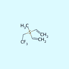 C=CS(C)(C=C)CC(F)(F)F